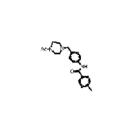 CC(=O)N1CCN(Cc2ccc(NC(=O)c3ccc(C)cc3)cc2)CC1